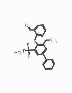 Cl.NCc1cc(-c2ccccc2)cc(C(F)(F)F)c1Sc1ccccc1C=O